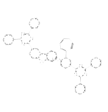 Oc1ccc(-c2nc(-c3ccccc3)nc(-c3ccccc3)n2)cc1C1=C(c2ccc3oc4ccc(-c5nc(-c6ccccc6)nc(-c6ccccc6)n5)cc4c3c2)C=CCC#C1